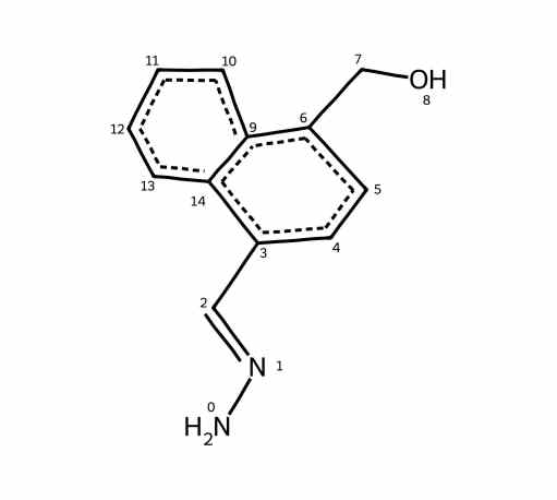 NN=Cc1ccc(CO)c2ccccc12